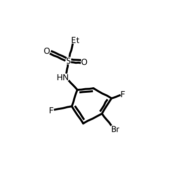 CCS(=O)(=O)Nc1cc(F)c(Br)cc1F